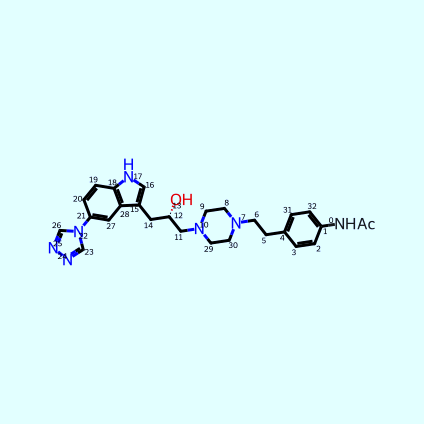 CC(=O)Nc1ccc(CCN2CCN(C[C@@H](O)Cc3c[nH]c4ccc(-n5cnnc5)cc34)CC2)cc1